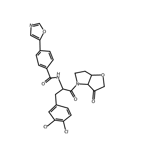 O=C(NC(Cc1ccc(Cl)c(Cl)c1)C(=O)N1CCC2OCC(=O)C21)c1ccc(-c2cnco2)cc1